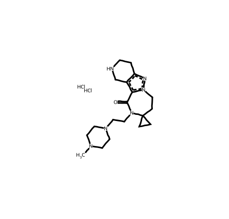 CN1CCN(CCN2C(=O)c3c4c(nn3CCC23CC3)CCNC4)CC1.Cl.Cl